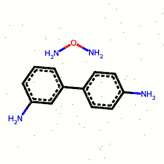 NON.Nc1ccc(-c2cccc(N)c2)cc1